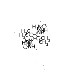 Cc1cc2c(CNC(=O)Nc3ccccc3N)c3cc(C)c(C)cc3c(CNC(=O)Nc3ccccc3N)c2cc1C